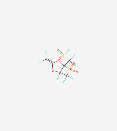 O=S(=O)(F)C(F)(F)C1(F)OC(=C(F)F)OC1(F)C(F)(F)S(=O)(=O)F